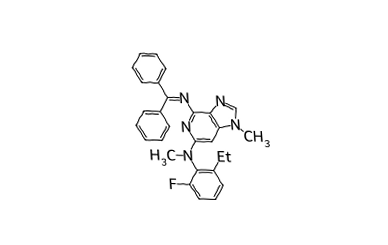 CCc1cccc(F)c1N(C)c1cc2c(ncn2C)c(N=C(c2ccccc2)c2ccccc2)n1